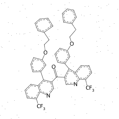 O=C(c1cnc2c(C(F)(F)F)cccc2c1-c1cccc(OCCc2ccccc2)c1)c1cnc2c(C(F)(F)F)cccc2c1-c1cccc(OCCc2ccccc2)c1